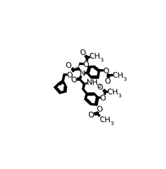 CC(=O)OC[C@@H](C(=O)OCc1ccccc1)N(C(=O)[C@@H](N)Cc1ccc(OC(C)=O)c(OC(C)=O)c1)c1ccc(OC(C)=O)cc1